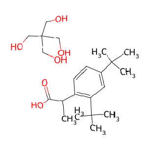 CC(C(=O)O)c1ccc(C(C)(C)C)cc1C(C)(C)C.OCC(CO)(CO)CO